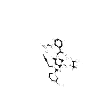 CC#CCn1c(N2CCCC(N)C2)nc2c1c(=O)n(CC(=O)c1ccccc1OC[S+](C)[O-])c(=O)n2C.O=C(O)C(F)(F)F